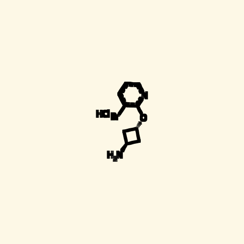 Cl.N[C@H]1C[C@H](Oc2ncccc2Br)C1